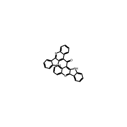 O=C(c1c2ccccc2nc2c1[nH]c1ccccc12)c1c2ccccc2nc2c1[nH]c1ccccc12